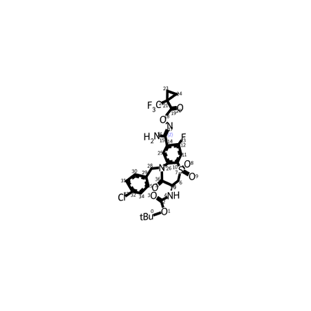 CC(C)(C)OC(=O)N[C@H]1CS(=O)(=O)c2cc(F)c(/C(N)=N/OC(=O)C3(C(F)(F)F)CC3)cc2N(Cc2ccc(Cl)cc2)C1=O